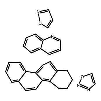 c1ccc2c(c1)ccc1c3c(ccc12)CCCC3.c1ccc2ncccc2c1.c1cnoc1.c1conn1